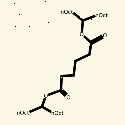 CCCCCCCCC(CCCCCCCC)OC(=O)CCCCC(=O)OC(CCCCCCCC)CCCCCCCC